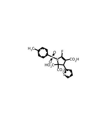 Cc1ccc(S(=O)(=O)N2C(F)=C(C(=O)O)C(c3cccs3)C2(C(=O)O)C(=O)O)cc1